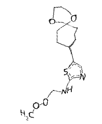 COOCNc1ncc(C2CCC3(CC2)OCCO3)s1